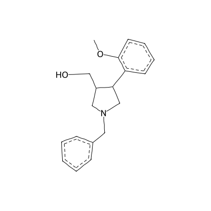 COc1ccccc1C1CN(Cc2ccccc2)CC1CO